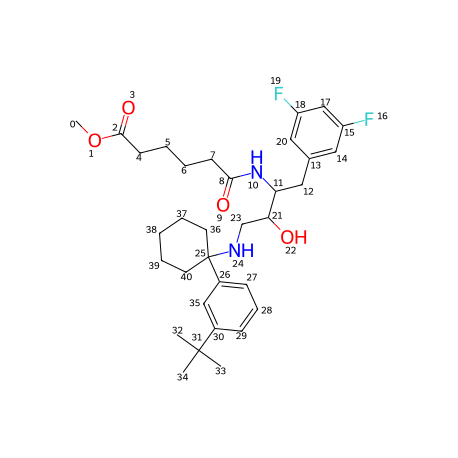 COC(=O)CCCCC(=O)NC(Cc1cc(F)cc(F)c1)C(O)CNC1(c2cccc(C(C)(C)C)c2)CCCCC1